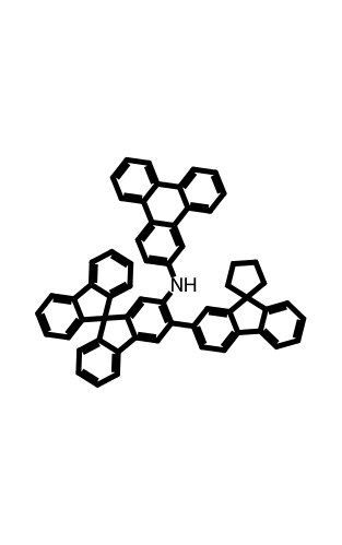 c1ccc2c(c1)-c1ccc(-c3cc4c(cc3Nc3ccc5c6ccccc6c6ccccc6c5c3)C3(c5ccccc5-c5ccccc53)c3ccccc3-4)cc1C21CCCC1